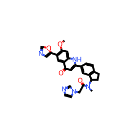 COc1cc2[nH]c(-c3ccc4c(c3)C(N(C)C(=O)Cn3ccnc3)CC4)cc(=O)c2cc1-c1cnco1